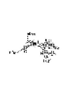 CCCCCCCCCCCCCC(=O)OC[C@H](COP(=O)(O)OCC(COC(=O)CC(C)(C)NC(=O)OC(C)(C)C)OC(=O)CC(C)(C)NC(=O)OC(C)(C)C)OC(=O)CCCCCCCCCCCCC